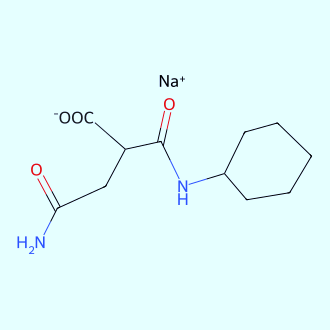 NC(=O)CC(C(=O)[O-])C(=O)NC1CCCCC1.[Na+]